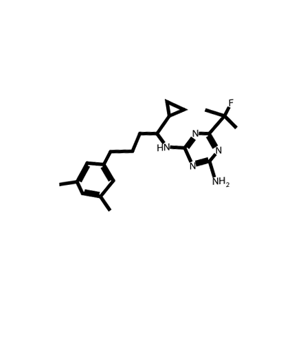 Cc1cc(C)cc(CCCC(Nc2nc(N)nc(C(C)(C)F)n2)C2CC2)c1